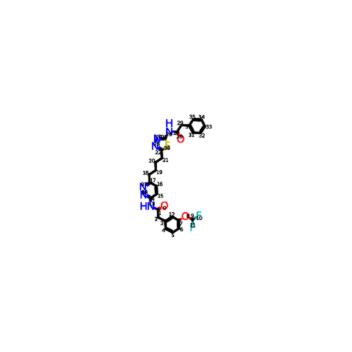 O=C(Cc1cccc(OC(F)F)c1)Nc1ccc(CCCCc2nnc(NC(=O)Cc3ccccc3)s2)nn1